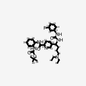 CCN(CC)CCCC(NC(=O)Nc1cccc(F)c1)c1ccc(C(=O)Nc2ccccc2NC(=O)OC(C)(C)C)nc1